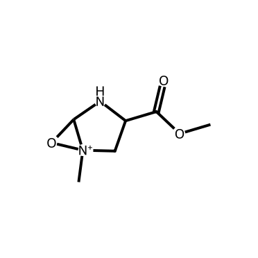 COC(=O)C1C[N+]2(C)OC2N1